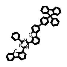 c1ccc(-c2nc(-c3cccc4c3oc3ccccc34)nc(-c3cccc4c3oc3ccc(-c5ccc(C6(c7ccccc7)c7ccccc7-c7ccccc76)cc5)cc34)n2)cc1